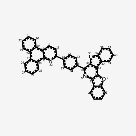 c1ccc2c(c1)oc1c2nc(-c2ccc(-c3ccc4c5ccccc5c5ccccc5c4n3)cc2)c2oc3ccccc3c21